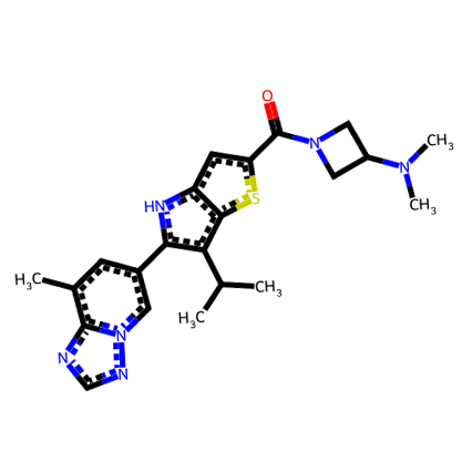 Cc1cc(-c2[nH]c3cc(C(=O)N4CC(N(C)C)C4)sc3c2C(C)C)cn2ncnc12